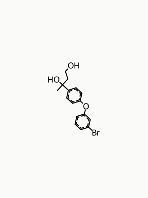 CC(O)(CCO)c1ccc(Oc2cccc(Br)c2)cc1